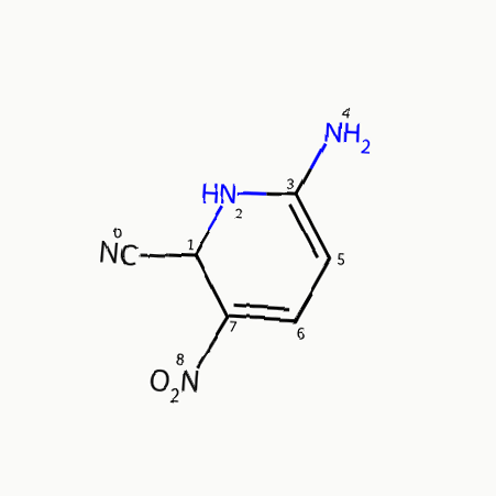 N#CC1NC(N)=CC=C1[N+](=O)[O-]